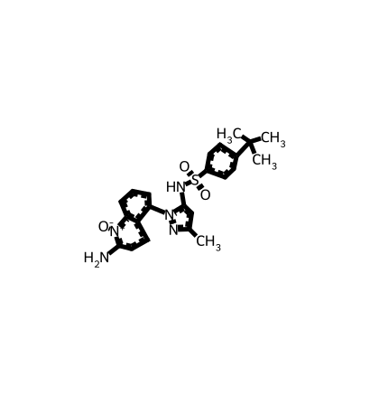 Cc1cc(NS(=O)(=O)c2ccc(C(C)(C)C)cc2)n(-c2cccc3c2ccc(N)[n+]3[O-])n1